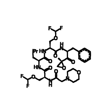 CC(C)C[C@H](NC(=O)[C@H](COC(F)F)NC(=O)CN1CCOCC1)C(=O)N[C@@H](COC(F)F)C(=O)N[C@@H](Cc1ccccc1)C(=O)[C@@]1(C)CO1